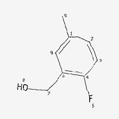 Cc1ccc(F)c(CO)c1